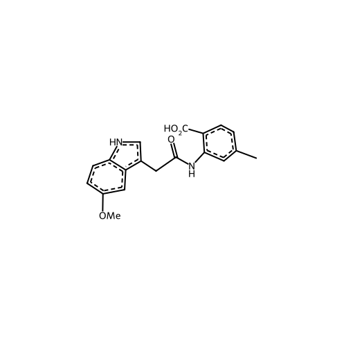 COc1ccc2[nH]cc(CC(=O)Nc3cc(C)ccc3C(=O)O)c2c1